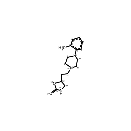 Cc1ccccc1N1CCN(CCC2CNC(=O)O2)CC1